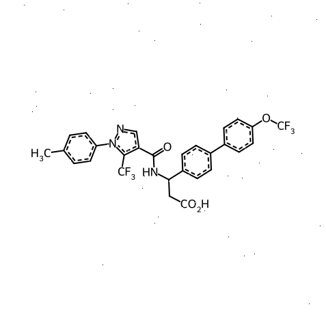 Cc1ccc(-n2ncc(C(=O)NC(CC(=O)O)c3ccc(-c4ccc(OC(F)(F)F)cc4)cc3)c2C(F)(F)F)cc1